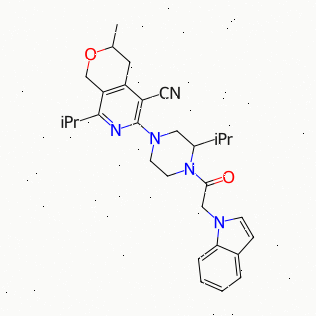 CC1Cc2c(C#N)c(N3CCN(C(=O)Cn4ccc5ccccc54)C(C(C)C)C3)nc(C(C)C)c2CO1